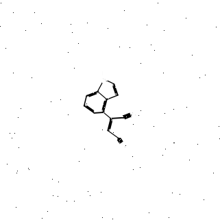 N#C/C=C(\C#N)c1cccc2[nH]ccc12